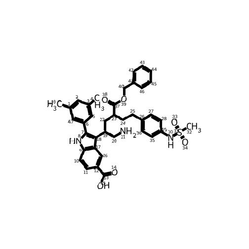 Cc1cc(C)cc(-c2[nH]c3ccc(C(=O)O)cc3c2C(CN)CC(CCc2ccc(NS(C)(=O)=O)cc2)C(=O)OCc2ccccc2)c1